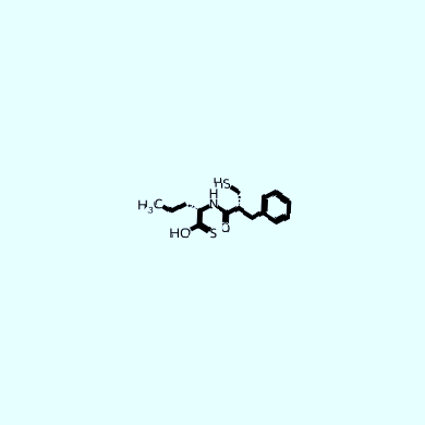 CCC[C@H](NC(=O)[C@H](CS)Cc1ccccc1)C(O)=S